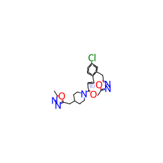 Cc1nnc(Cc2cc(Cl)ccc2/C=C/C(=O)N2CCC(Cc3nnc(C)o3)CC2)o1